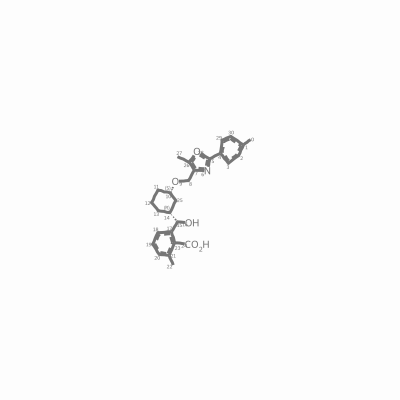 Cc1ccc(-c2nc(CO[C@H]3CCC[C@@H](C(O)c4cccc(C)c4C(=O)O)C3)c(C)o2)cc1